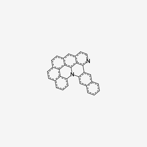 c1ccc2cc3c(cc2c1)-c1nccc2cc4ccc5ccc6cccc7c6c5c4c(c12)N37